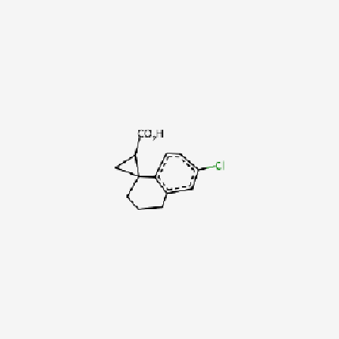 O=C(O)C1CC12CCCc1cc(Cl)ccc12